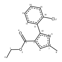 CCOC(=O)c1cn(C)nc1-c1ccccc1Cl